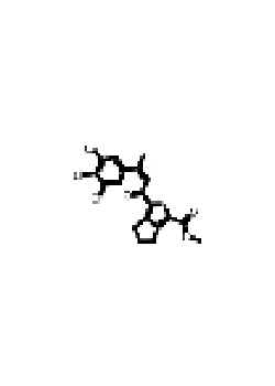 COC(=O)c1sc(C(=O)/C=C(/C)c2cc(Cl)c(Cl)c(Cl)c2)c2c1CCC2